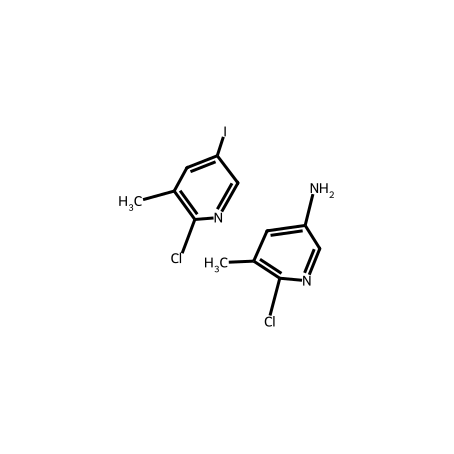 Cc1cc(I)cnc1Cl.Cc1cc(N)cnc1Cl